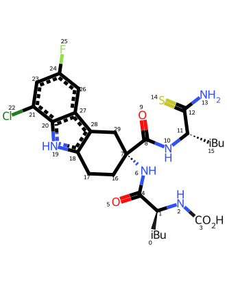 CCC(C)[C@H](NC(=O)O)C(=O)N[C@]1(C(=O)N[C@H](C(N)=S)C(C)CC)CCc2[nH]c3c(Cl)cc(F)cc3c2C1